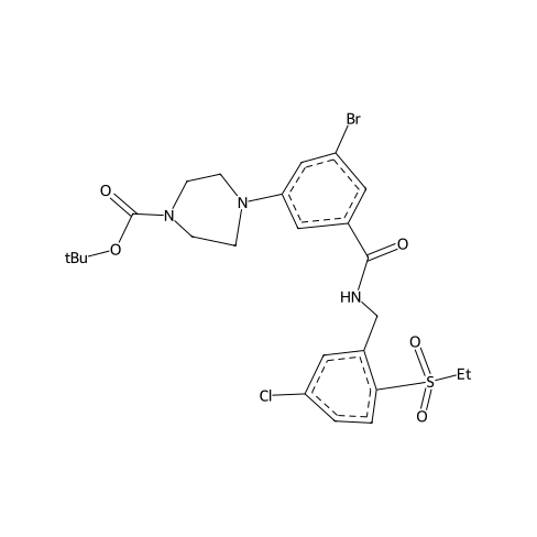 CCS(=O)(=O)c1ccc(Cl)cc1CNC(=O)c1cc(Br)cc(N2CCN(C(=O)OC(C)(C)C)CC2)c1